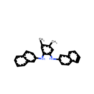 Cc1cc(Nc2ccc3c#cccc3c2)c(Nc2ccc3ccccc3c2)cc1C